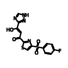 O=C(C=C(O)c1nc[nH]n1)c1nc(S(=O)(=O)c2ccc(F)cc2)cs1